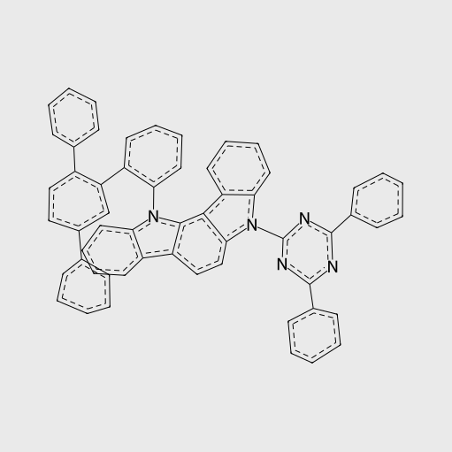 c1ccc(-c2ccc(-c3ccccc3)c(-c3ccccc3-n3c4ccccc4c4ccc5c(c6ccccc6n5-c5nc(-c6ccccc6)nc(-c6ccccc6)n5)c43)c2)cc1